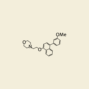 COc1cccc(-c2ccc(OCCN3CCOCC3)c3ccccc23)c1